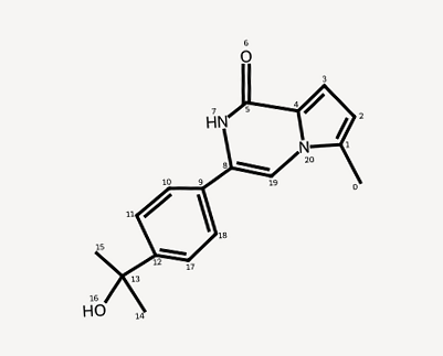 Cc1ccc2c(=O)[nH]c(-c3ccc(C(C)(C)O)cc3)cn12